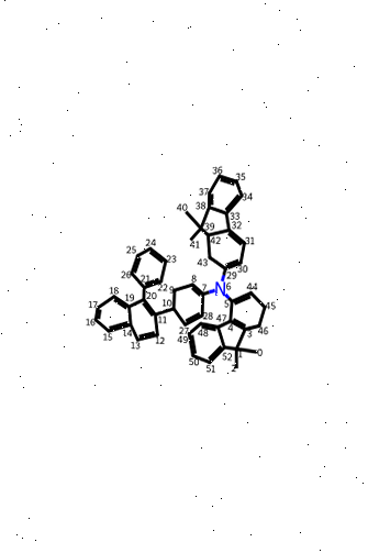 CC1(C)C2=C(C(N(C3=CCC(c4ccc5ccccc5c4-c4ccccc4)C=C3)C3=CC=C4c5ccccc5C(C)(C)C4C3)=CCC2)c2ccccc21